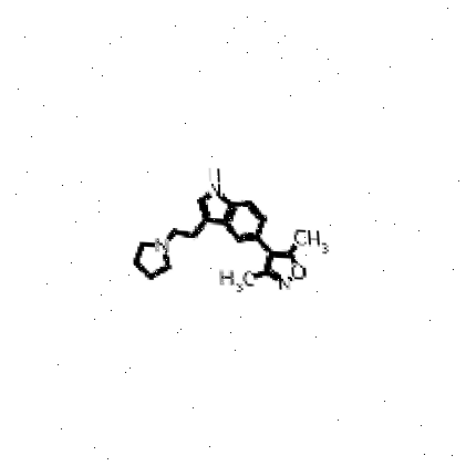 Cc1noc(C)c1-c1ccc2[nH]cc(CCN3CCCC3)c2c1